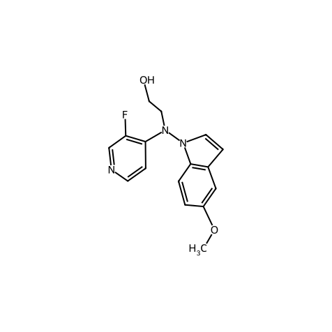 COc1ccc2c(ccn2N(CCO)c2ccncc2F)c1